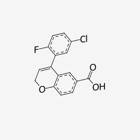 O=C(O)c1ccc2c(c1)C(c1cc(Cl)ccc1F)=CCO2